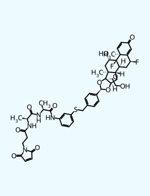 C[C@H](NC(=O)CCN1C(=O)C=CC1=O)C(=O)N[C@@H](C)C(=O)Nc1cccc(SCc2ccc([C@@H]3O[C@@H]4C[C@H]5[C@@H]6C[C@H](F)C7=CC(=O)C=C[C@]7(C)[C@@]6(F)[C@@H](O)C[C@]5(C)[C@]4(C(=O)CO)O3)cc2)c1